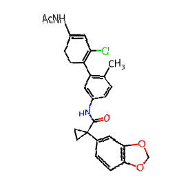 CC(=O)NC1=CC(Cl)=C(c2cc(NC(=O)C3(c4ccc5c(c4)OCO5)CC3)ccc2C)CC1